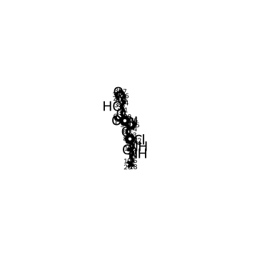 COc1cc2c(Oc3ccc(NC(=O)NCCC(C)(C)C)c(Cl)c3)ccnc2cc1OC[C@H](O)CN1CCOCC1